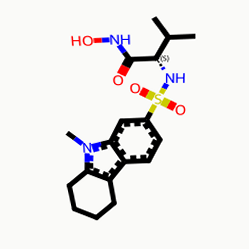 CC(C)[C@H](NS(=O)(=O)c1ccc2c3c(n(C)c2c1)CCCC3)C(=O)NO